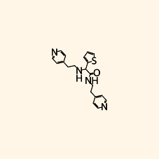 O=C(NCCc1ccncc1)C(NCCc1ccncc1)c1cccs1